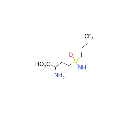 N=S(=O)(CCCC(F)(F)F)CCC(N)C(=O)O